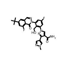 Cn1cc(-c2nn(-c3cc(F)cc(-n4ncc5cc(C(C)(C)C)cc(F)c5c4=O)c3CO)cc2C(N)=O)cn1